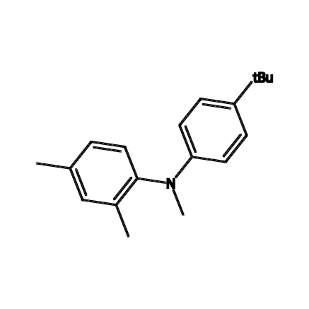 Cc1ccc(N(C)c2ccc(C(C)(C)C)cc2)c(C)c1